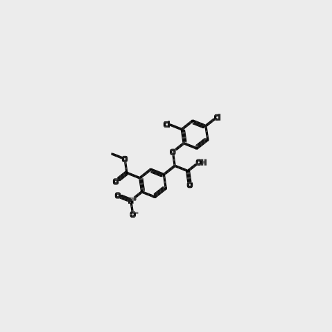 COC(=O)c1cc(C(Oc2ccc(Cl)cc2Cl)C(=O)O)ccc1[N+](=O)[O-]